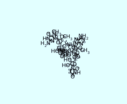 CNC(=O)C[C@H]1[C@@H](OC)[C@H](n2c[n+](C)c3c(=O)[nH]c(N)nc32)O[C@@H]1COP(=O)(O)OP(=O)(O)OP(=O)(O)OCC1O[C@@H](n2cnc3c(N)ncnc32)[C@H](OC)[C@@H]1OP(=O)([O-])OC[C@H]1O[C@@H](n2ccc(=O)[nH]c2=O)[C@H](O)[C@@H]1O